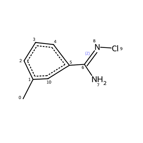 Cc1cccc(/C(N)=N/Cl)c1